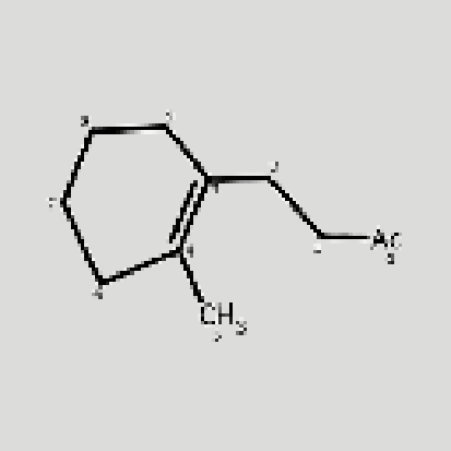 CC(=O)CCC1=C(C)CCCC1